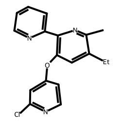 CCc1cc(Oc2ccnc(Cl)c2)c(-c2ccccn2)nc1C